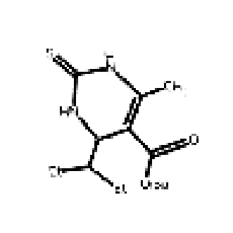 CCC(CC)C1NC(=S)NC(C)=C1C(=O)OCC(C)C